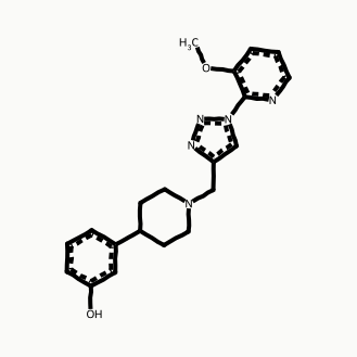 COc1cccnc1-n1cc(CN2CCC(c3cccc(O)c3)CC2)nn1